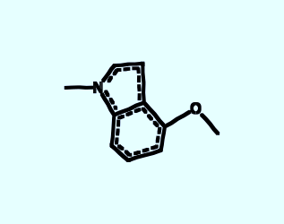 COc1cccc2c1ccn2C